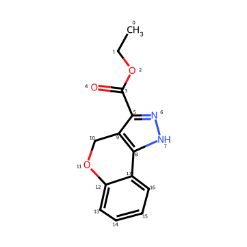 CCOC(=O)c1n[nH]c2c1COc1ccccc1-2